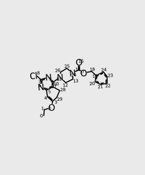 CCOC1=Cc2nc(Cl)nc(N3CCN(C(=O)OCc4ccccc4)CC3)c2CC1